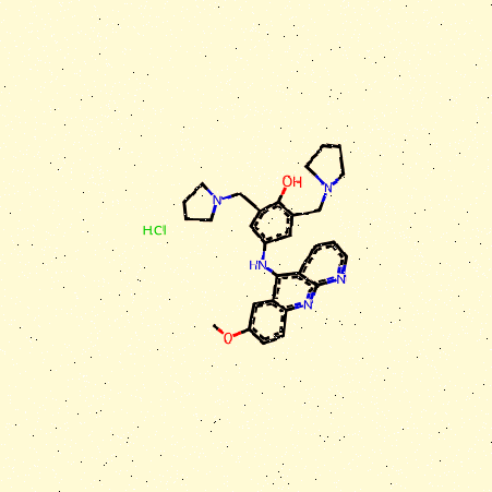 COc1ccc2nc3ncccc3c(Nc3cc(CN4CCCC4)c(O)c(CN4CCCC4)c3)c2c1.Cl